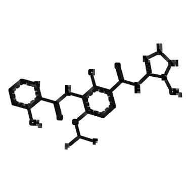 Cc1cccnc1C(=O)Nc1c(OC(F)F)ccc(C(=O)NC2=NNNN2C)c1Cl